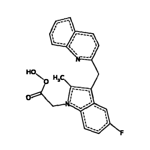 Cc1c(Cc2ccc3ccccc3n2)c2cc(F)ccc2n1CC(=O)OO